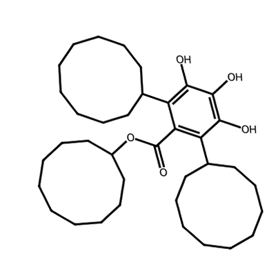 O=C(OC1CCCCCCCCC1)c1c(C2CCCCCCCCC2)c(O)c(O)c(O)c1C1CCCCCCCCC1